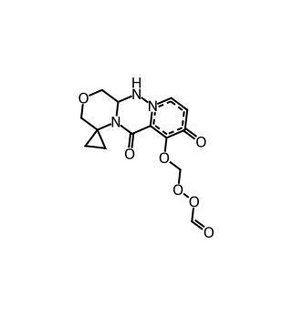 O=COOCOc1c2n(ccc1=O)NC1COCC3(CC3)N1C2=O